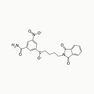 NC(=O)c1cc([N+](=O)[O-])cc([S+]([O-])CCCCN2C(=O)c3ccccc3C2=O)c1